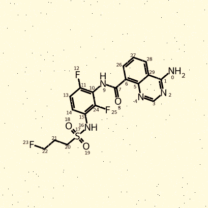 Nc1ncnc2c(C(=O)Nc3c(F)ccc(NS(=O)(=O)CCCF)c3F)cccc12